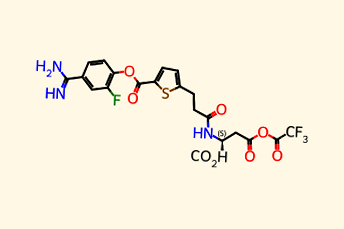 N=C(N)c1ccc(OC(=O)c2ccc(CCC(=O)N[C@@H](CC(=O)OC(=O)C(F)(F)F)C(=O)O)s2)c(F)c1